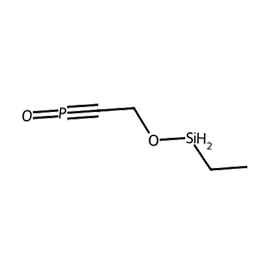 CC[SiH2]OCC#P=O